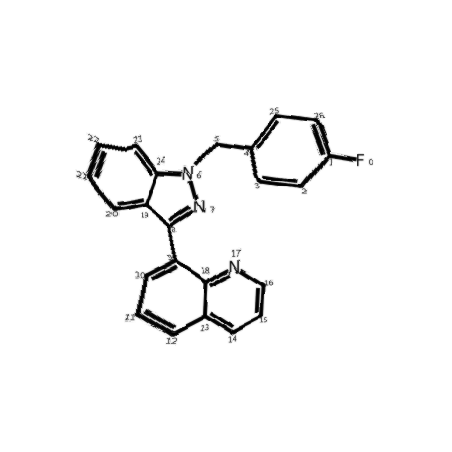 Fc1ccc(Cn2nc(-c3cccc4cccnc34)c3ccccc32)cc1